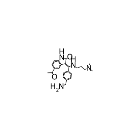 CC(=O)c1ccc2c(c1)/C(=C(/NCCCN(C)C)c1ccc(CN)cc1)C(=O)N2